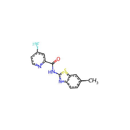 Cc1ccc2nc(NC(=O)c3cc([19F])ccn3)sc2c1